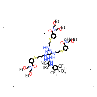 CCCCCCN(CCOCC)C(=O)c1cccc(SCCCNc2nc(NCCCSc3cccc(C(=O)N(CCOCC)CCOCC)c3)nc(NCCCCSc3cccc(C(=O)N(CCOCC)CCOCC)c3)c2N=Nc2nn(-c3cc(C(F)(F)F)c([N+](=O)[O-])c(C(F)(F)F)c3)c(C(C)(C)C)c2C#N)c1